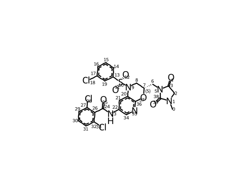 CN1CC(=O)N(C[C@H]2CN(S(=O)(=O)c3cccc(Cl)c3)c3cc(NC(=O)c4c(Cl)cccc4Cl)cnc3O2)C1=O